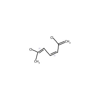 C=C(Cl)/C=C\C=C(/C)Cl